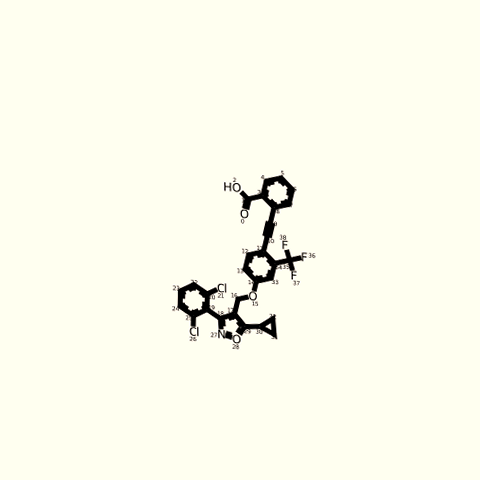 O=C(O)c1ccccc1C#Cc1ccc(OCc2c(-c3c(Cl)cccc3Cl)noc2C2CC2)cc1C(F)(F)F